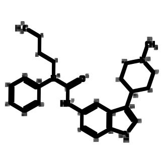 CCCCN(C(=O)Nc1ccc2[nH]cc(C3CCN(C)CC3)c2c1)c1ccccc1